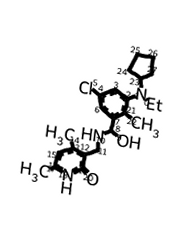 CCN(c1cc(Cl)cc(C(O)NCc2c(C)cc(C)[nH]c2=O)c1C)C1CCCC1